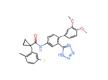 COc1ccc(-c2ccc(NC(=O)C3(c4cc(F)ccc4C)CC3)cc2-c2nnn[nH]2)cc1OC